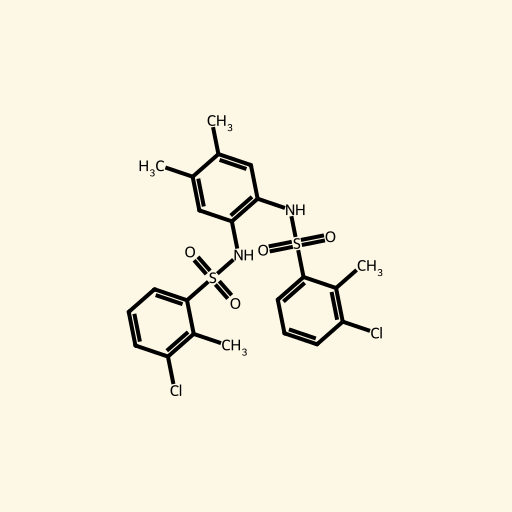 Cc1cc(NS(=O)(=O)c2cccc(Cl)c2C)c(NS(=O)(=O)c2cccc(Cl)c2C)cc1C